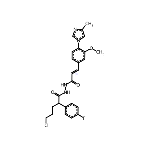 COc1cc(/C=C/C(=O)NNC(=O)C(CCCCl)c2ccc(F)cc2)ccc1-n1cnc(C)c1